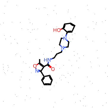 Cc1onc(-c2ccccc2)c1C(=O)NCCCN1CCN(c2ccccc2O)CC1